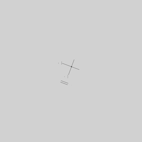 C=O.ClC(Cl)(Cl)Cl